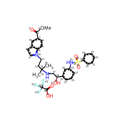 COC(=O)c1ccc2c(ccn2CCC(C)(C)NC[C@H](O)c2cccc(NS(=O)(=O)c3ccccc3)c2)c1.O=C(O)C(F)(F)F